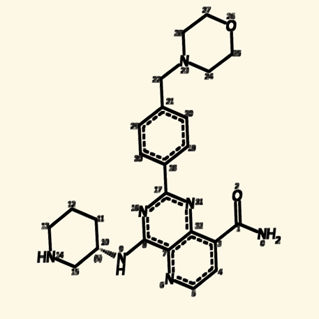 NC(=O)c1ccnc2c(N[C@H]3CCCNC3)nc(-c3ccc(CN4CCOCC4)cc3)nc12